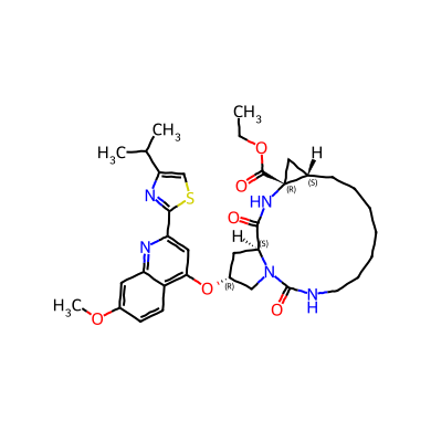 CCOC(=O)[C@@]12C[C@@H]1CCCCCCCNC(=O)N1C[C@H](Oc3cc(-c4nc(C(C)C)cs4)nc4cc(OC)ccc34)C[C@H]1C(=O)N2